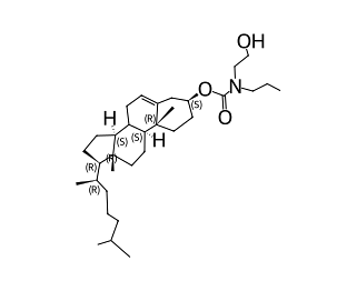 CCCN(CCO)C(=O)O[C@H]1CC[C@@]2(C)C(=CCC3[C@@H]4CC[C@H]([C@H](C)CCCC(C)C)[C@@]4(C)CC[C@@H]32)C1